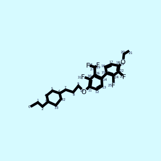 CCCC1CCC(CCCOc2ccc(-c3ccc(OCC)c(F)c3F)c(C(F)F)c2F)CC1